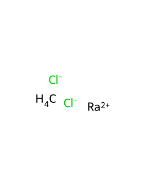 C.[Cl-].[Cl-].[Ra+2]